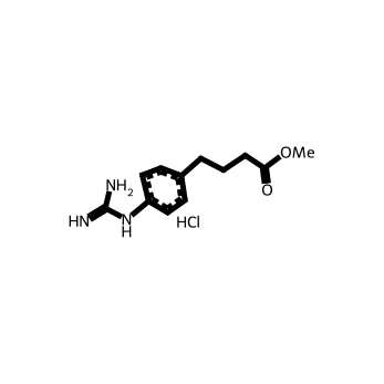 COC(=O)CCCc1ccc(NC(=N)N)cc1.Cl